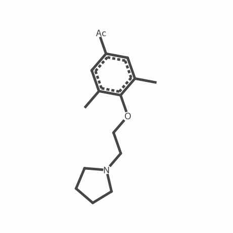 CC(=O)c1cc(C)c(OCCN2CCCC2)c(C)c1